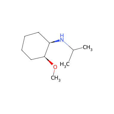 CO[C@H]1CCCC[C@H]1NC(C)C